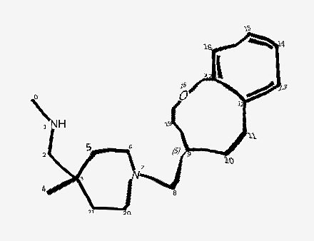 CNCC1(C)CCN(C[C@@H]2CCc3ccccc3OC2)CC1